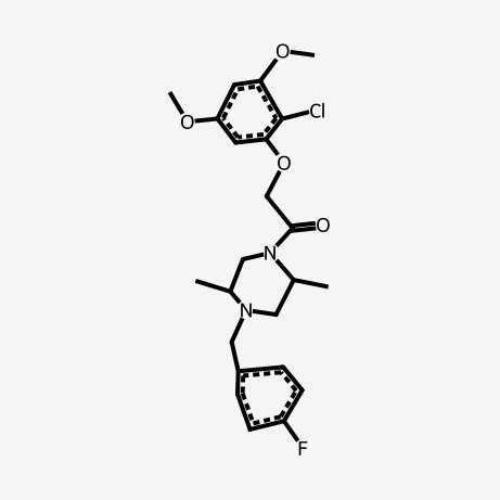 COc1cc(OC)c(Cl)c(OCC(=O)N2CC(C)N(Cc3ccc(F)cc3)CC2C)c1